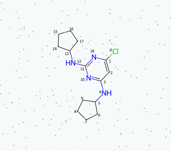 Clc1cc(NC2CCCC2)nc(NC2CCCC2)n1